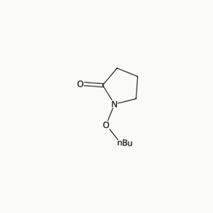 CCCCON1CCCC1=O